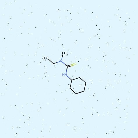 [CH2]CN(C)C(=S)NC1CCCCC1